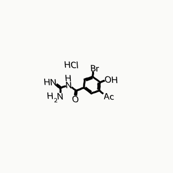 CC(=O)c1cc(C(=O)NC(=N)N)cc(Br)c1O.Cl